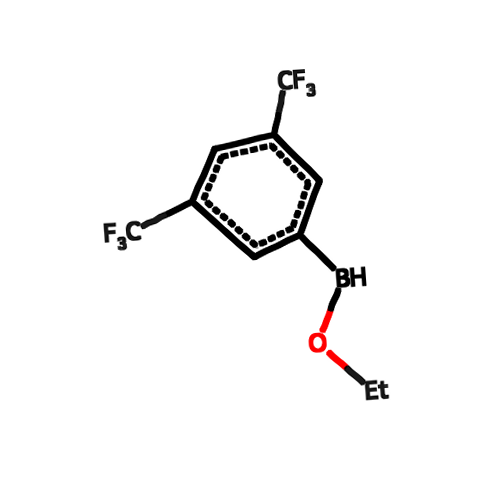 CCOBc1cc(C(F)(F)F)cc(C(F)(F)F)c1